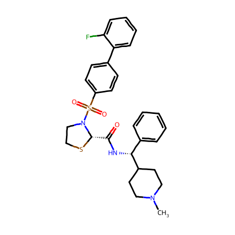 CN1CCC([C@H](NC(=O)[C@@H]2SCCN2S(=O)(=O)c2ccc(-c3ccccc3F)cc2)c2ccccc2)CC1